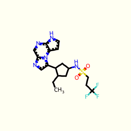 CCC1CC(NS(=O)(=O)CCC(F)(F)F)CC1c1cnc2cnc3[nH]ccc3n12